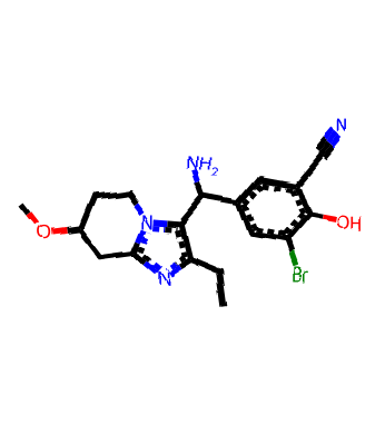 CCc1nc2n(c1C(N)c1cc(Br)c(O)c(C#N)c1)CCC(OC)C2